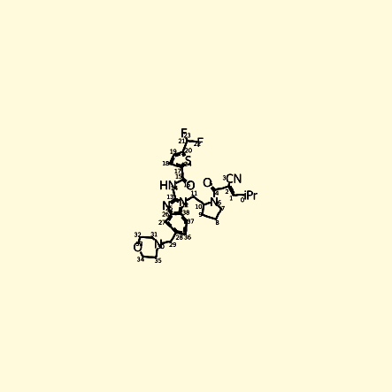 CC(C)C=C(C#N)C(=O)N1CCCC1Cn1c(NC(=O)c2ccc(C(F)F)s2)nc2cc(CN3CCOCC3)ccc21